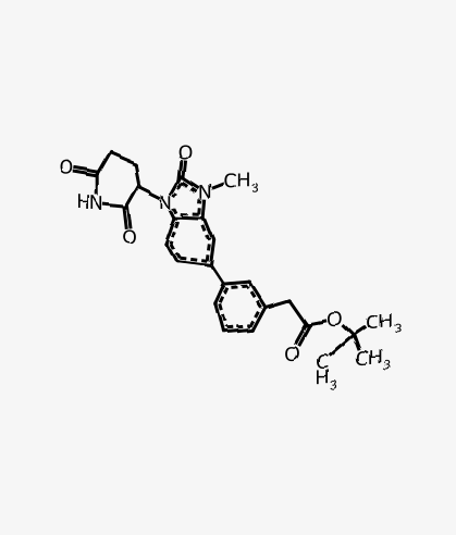 Cn1c(=O)n(C2CCC(=O)NC2=O)c2ccc(-c3cccc(CC(=O)OC(C)(C)C)c3)cc21